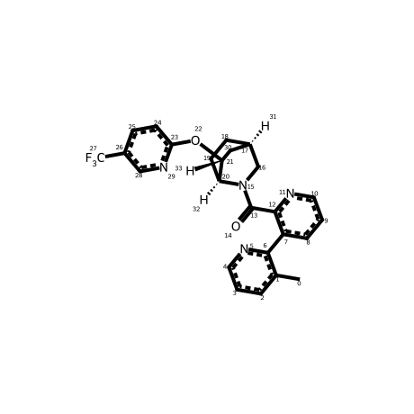 Cc1cccnc1-c1cccnc1C(=O)N1C[C@@H]2CC[C@H]1[C@H](Oc1ccc(C(F)(F)F)cn1)C2